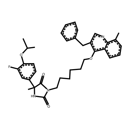 Cc1cccc2c(OCCCCCCN3C(=O)NC(C)(c4ccc(OC(C)C)c(F)c4)C3=O)c(Cc3ccccc3)cnc12